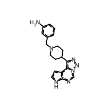 Nc1cccc(CN2CCC(c3nnn4cnc5[nH]ccc5c34)CC2)c1